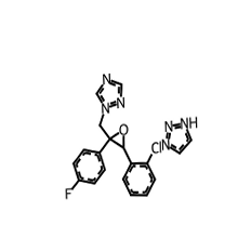 Fc1ccc(C2(Cn3cncn3)OC2c2ccccc2Cl)cc1.c1c[nH]nn1